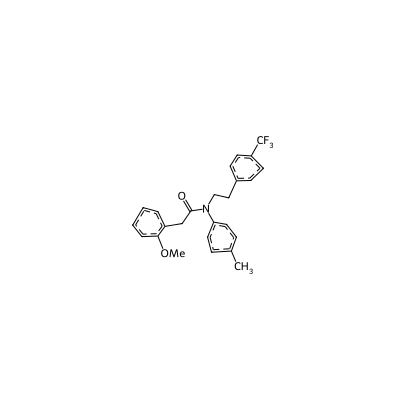 COc1ccccc1CC(=O)N(CCc1ccc(C(F)(F)F)cc1)c1ccc(C)cc1